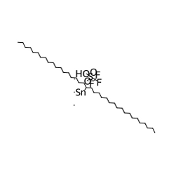 CCCCCCCCCCCCCCCCCC[CH]([Sn])CCCCCCCCCCCCCCCCCC.O=S(=O)(O)C(F)(F)F